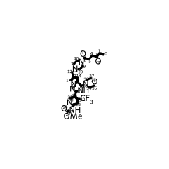 C=CC(=O)CCC(=O)N1CCN(Cc2cc3n(c2)N=C(c2cnc(NC(=O)OC)cc2C(F)(F)F)NC3N2CCOCC2)CC1